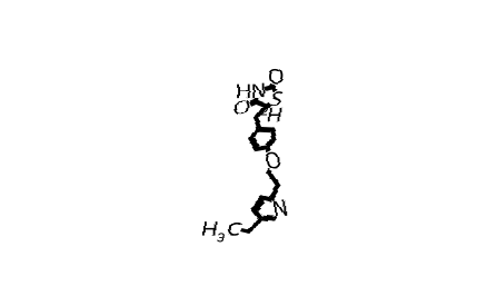 [2H]C1(Cc2ccc(OCCc3ccc(CC)cn3)cc2)SC(=O)NC1=O